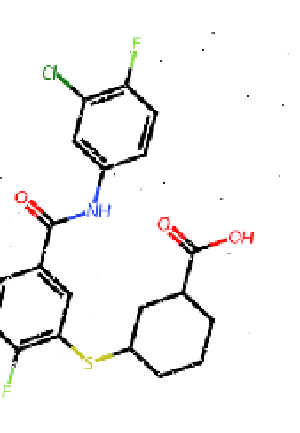 O=C(Nc1ccc(F)c(Cl)c1)c1ccc(F)c(SC2CCCC(C(=O)O)C2)c1